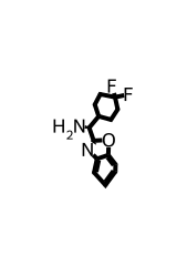 N[C@H](c1nc2ccccc2o1)C1CCC(F)(F)CC1